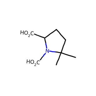 CC1(C)CCC(C(=O)O)N1C(=O)O